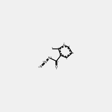 Cc1ncccc1C(=O)N=[N+]=[N-]